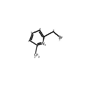 FC(F)(F)c1cccc(CBr)n1